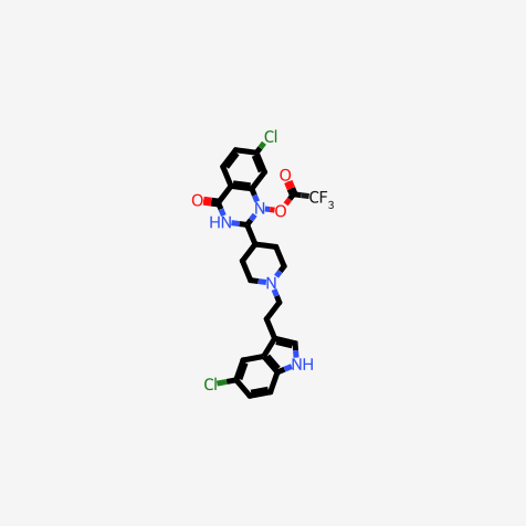 O=C1NC(C2CCN(CCc3c[nH]c4ccc(Cl)cc34)CC2)N(OC(=O)C(F)(F)F)c2cc(Cl)ccc21